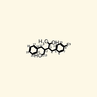 CC(O)C(Cc1ccc(F)cc1)C(CO)Cc1ccccc1